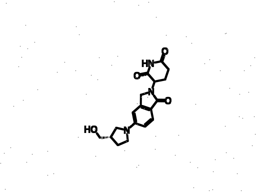 O=C1CCC(N2Cc3cc(N4CC[C@H](CO)C4)ccc3C2=O)C(=O)N1